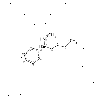 CCCC[SiH](NC)c1ccccc1